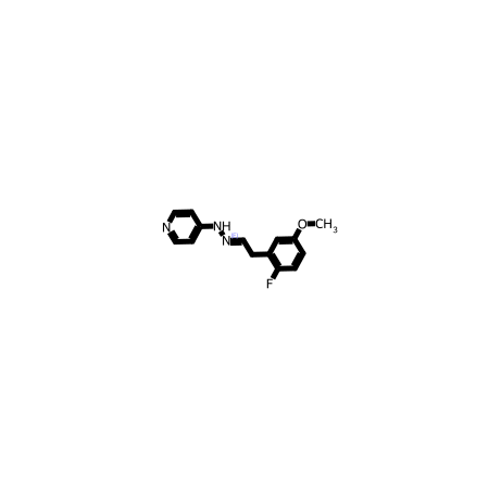 COc1ccc(F)c(C/C=N/Nc2ccncc2)c1